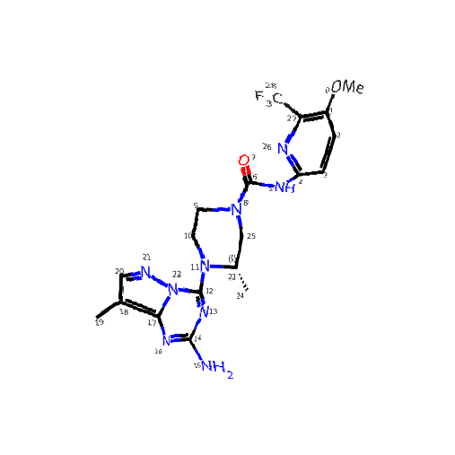 COc1ccc(NC(=O)N2CCN(c3nc(N)nc4c(C)cnn34)[C@@H](C)C2)nc1C(F)(F)F